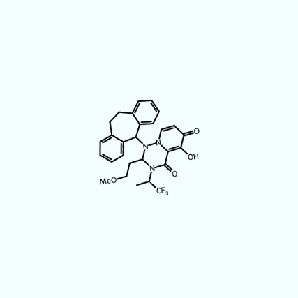 COCCC1N([C@H](C)C(F)(F)F)C(=O)c2c(O)c(=O)ccn2N1C1c2ccccc2CCc2ccccc21